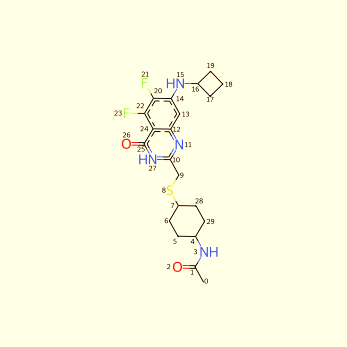 CC(=O)NC1CCC(SCc2nc3cc(NC4CCC4)c(F)c(F)c3c(=O)[nH]2)CC1